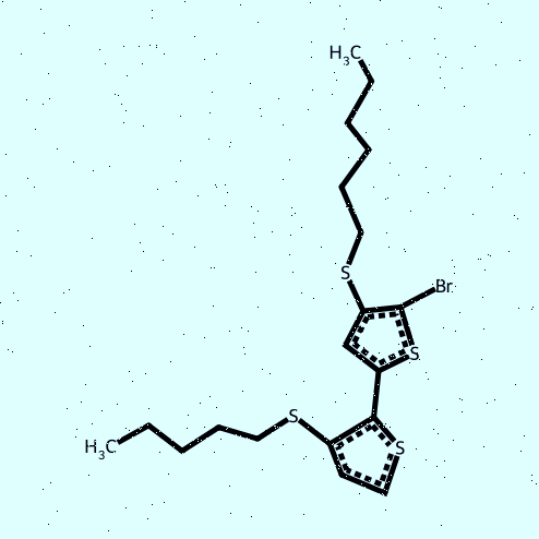 CCCCCCSc1cc(-c2sccc2SCCCCC)sc1Br